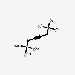 CCCCCCC[CH2][Sn]([CH2]C#C[CH2][Sn]([CH2]CCCCCCC)([CH2]CCCCCCC)[CH2]CCCCCCC)([CH2]CCCCCCC)[CH2]CCCCCCC